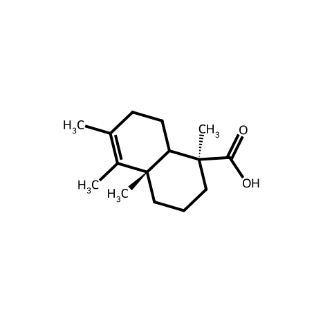 CC1=C(C)[C@@]2(C)CCC[C@](C)(C(=O)O)C2CC1